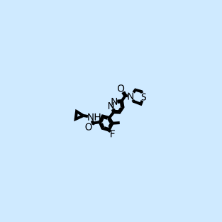 Cc1c(F)cc(C(=O)NC2CC2)cc1-c1ccc(C(=O)N2CCSCC2)nn1